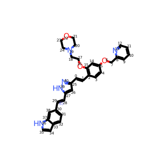 C(=Cc1ccc(OCc2ccccn2)cc1OCCN1CCOCC1)c1cc(/C=C/c2ccc3cc[nH]c3c2)[nH]n1